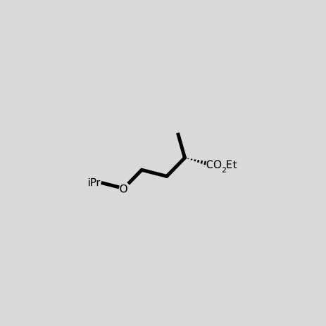 CCOC(=O)[C@@H](C)CCOC(C)C